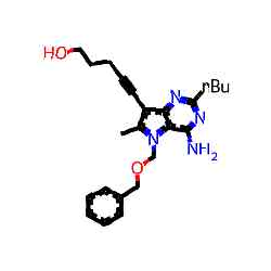 CCCCc1nc(N)c2c(n1)c(C#CCCCO)c(C)n2COCc1ccccc1